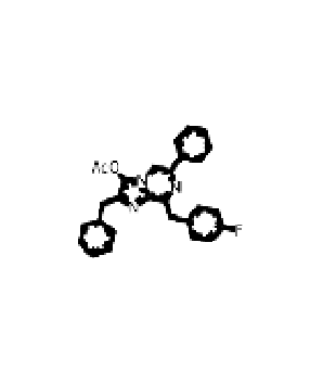 CC(=O)Oc1c(Cc2ccccc2)nc2c(Cc3ccc(F)cc3)nc(-c3ccccc3)cn12